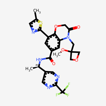 COC1(CN2C(=O)COc3c(-c4ncc(C)s4)cc(C(=O)N[C@H](C)c4cnc(C(F)(F)F)nc4)cc32)COC1